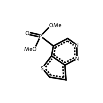 COP(=O)(OC)c1cnnc2ccsc12